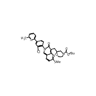 CSc1ccc2cn(-c3ccc(-c4cccc(C)n4)cc3Cl)c(=O)c(CC3CN(C(=O)OC(C)(C)C)CCO3)c2n1